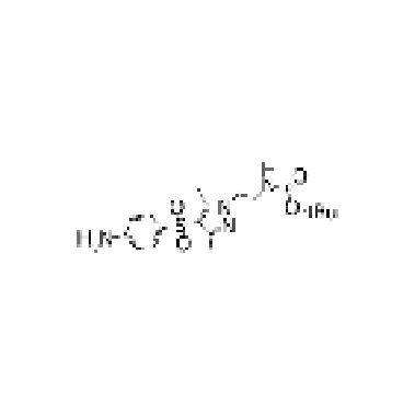 Cc1nn(CCNC(=O)OC(C)(C)C)c(C)c1S(=O)(=O)c1ccc(N)cc1